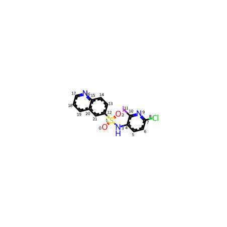 O=S(=O)(Nc1ccc(Cl)nc1I)c1ccc2ncccc2c1